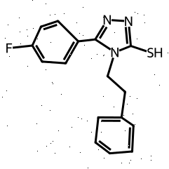 Fc1ccc(-c2nnc(S)n2CCc2ccccc2)cc1